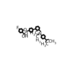 CCC(CC)c1ccc(N(Cc2cccc(-c3ccc(COc4cc(F)ccc4C(=O)O)cc3)c2)C(C)C)cc1